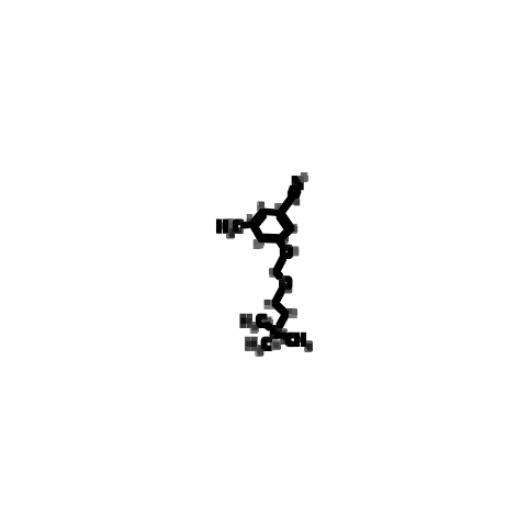 Cc1cc(C#N)cc(OCOCC[Si](C)(C)C)c1